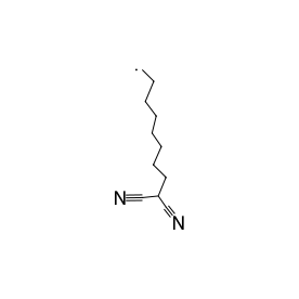 [CH2]CCCCCCCC(C#N)C#N